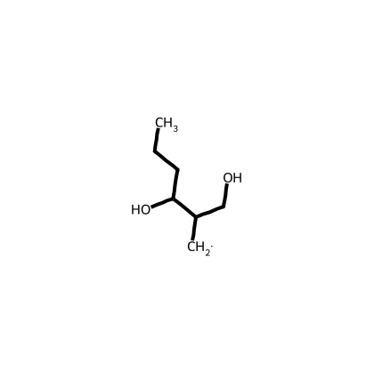 [CH2]C(CO)C(O)CCC